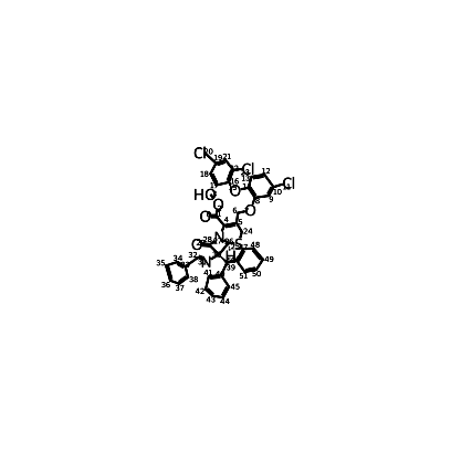 O=C(OO)C1=C(COc2cc(Cl)ccc2Oc2ccc(Cl)cc2Cl)CS[C@@H]2N1C(=O)[C@]2(N=Cc1ccccc1)C(c1ccccc1)c1ccccc1